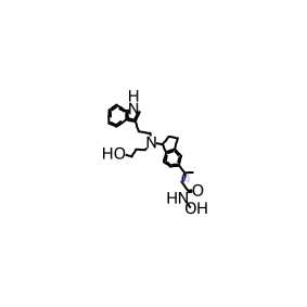 C/C(=C\C(=O)NO)c1ccc2c(c1)CCC2N(CCCO)CCc1c[nH]c2ccccc12